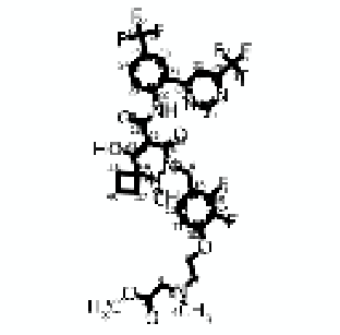 COC(=O)CN(C)CCOc1ccc(CN2C(=O)C(C(=O)Nc3ccc(C(F)(F)F)cc3-c3cc(C(F)(F)F)ncn3)=C(O)C3(CCC3)N2C)c(F)c1F